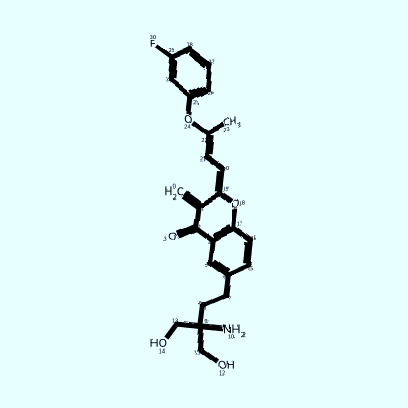 C=c1c(=O)c2cc(CCC(N)(CO)CO)ccc2o/c1=C/C=C(\C)Oc1cccc(F)c1